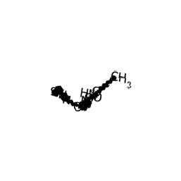 CCCCCCCCCCOC(=O)NCOc1ccc2ccc(OCCCCN3CCN(c4cccc5sccc45)CC3)cc2n1